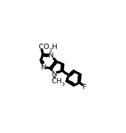 Cn1c(-c2ccc(F)cc2)cc2nc(C(=O)O)cnc21